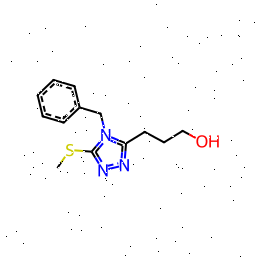 CSc1nnc(CCCO)n1Cc1ccccc1